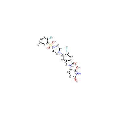 Cc1ccc(F)c(S(=O)(=O)N2CCN(c3cc4c(cc3F)C(=O)N(C3CCC(=O)NC3=O)C4)CC2)c1